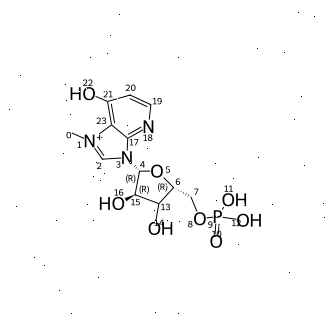 C[n+]1cn([C@@H]2O[C@H](COP(=O)(O)O)C(O)[C@H]2O)c2nccc(O)c21